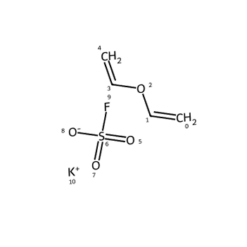 C=COC=C.O=S(=O)([O-])F.[K+]